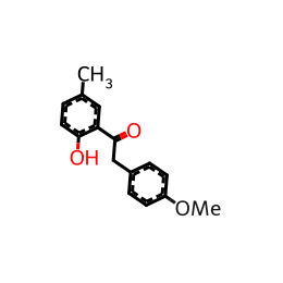 COc1ccc(CC(=O)c2cc(C)ccc2O)cc1